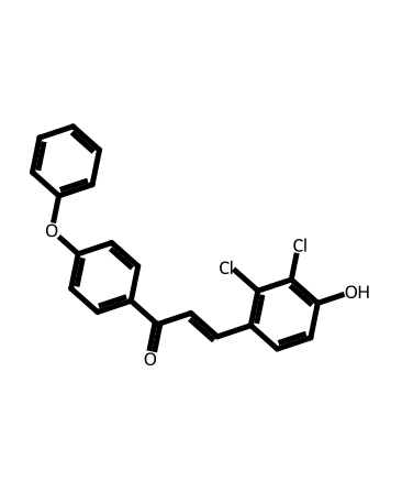 O=C(C=Cc1ccc(O)c(Cl)c1Cl)c1ccc(Oc2ccccc2)cc1